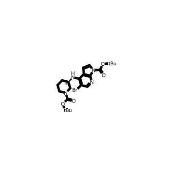 CC(C)(C)OC(=O)N1CCC[C@@H](Nc2c(Br)cnc3c2ccn3C(=O)OC(C)(C)C)C1